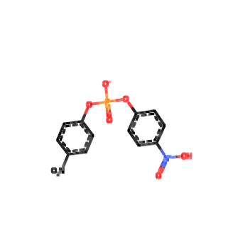 O=[N+]([O-])c1ccc(OP(=O)([O-])Oc2ccc([N+](=O)O)cc2)cc1